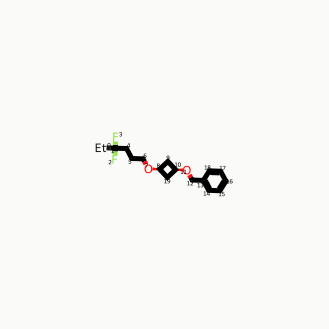 CCC(F)(F)CCCO[C@H]1C[C@@H](OCc2ccccc2)C1